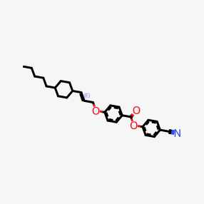 CCCCCC1CCC(/C=C/COc2ccc(C(=O)Oc3ccc(C#N)cc3)cc2)CC1